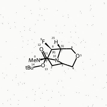 CN[C@@H]1CC2COC[C@@H]([C@@H]1F)N2C(=O)OC(C)(C)C